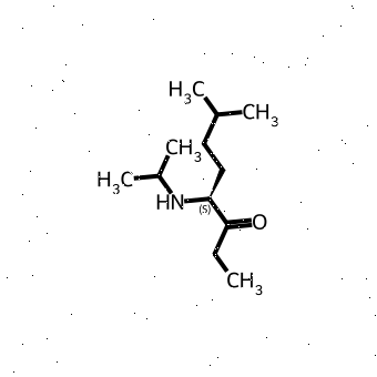 CCC(=O)[C@H](CCC(C)C)NC(C)C